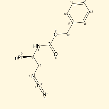 CCC[C@H](CN=[N+]=[N-])NC(=O)OCc1ccccc1